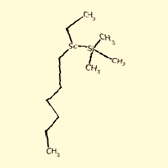 CCCCC[CH2][Sc]([CH2]C)[Si](C)(C)C